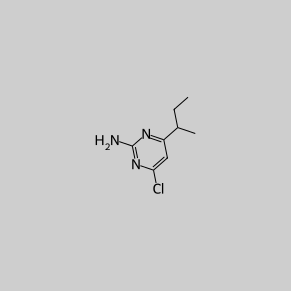 CCC(C)c1cc(Cl)nc(N)n1